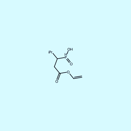 C=COC(=O)CC(C(C)C)[PH](=O)O